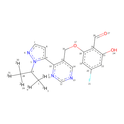 [2H]C([2H])([2H])C(n1nccc1-c1ncncc1COc1cc(F)cc(O)c1C=O)C([2H])([2H])[2H]